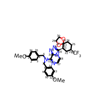 COc1ccc(CN(Cc2ccc(OC)cc2)c2nccn3c([C@@H]4C[C@H](C(F)(F)F)CCC45OCCO5)nnc23)cc1